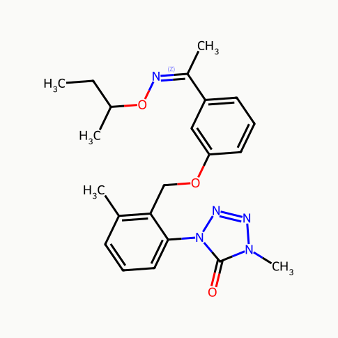 CCC(C)O/N=C(/C)c1cccc(OCc2c(C)cccc2-n2nnn(C)c2=O)c1